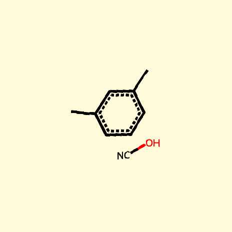 Cc1cccc(C)c1.N#CO